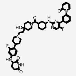 O=C1CCC(Nc2ccc(C3CCN(CCC4(O)CCN(C(=O)C5CCCC(Nc6ncc(F)c(-c7cccc(-n8ccccc8=O)c7)n6)C5)CC4)CC3)c(F)c2)C(=O)N1